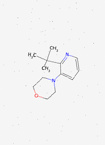 CC(C)(C)c1ncccc1N1CCOCC1